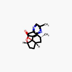 Cc1cnc(CO[C@@]23C4=C[C@H](C)C[C@@H]2CC[C@@H]3OC4=O)cn1